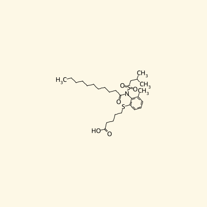 CCCCCCCCCCC(=O)N(c1c(C)cccc1SCCCCC(=O)O)S(=O)(=O)CC(C)C